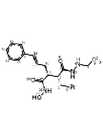 CC(C)C[C@@H](C(=O)NNCC(F)(F)F)[C@H](CC=Cc1ccccc1)C(=O)NO